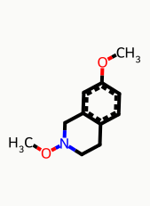 COc1ccc2c(c1)CN(OC)CC2